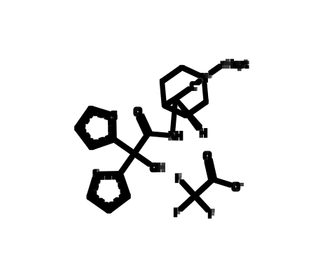 CCCCCCC[N+]12CCC(CC1)[C@@H](NC(=O)C(O)(c1cccs1)c1cccs1)C2.O=C([O-])C(F)(F)F